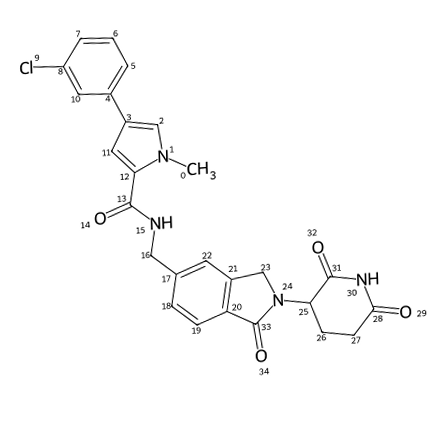 Cn1cc(-c2cccc(Cl)c2)cc1C(=O)NCc1ccc2c(c1)CN(C1CCC(=O)NC1=O)C2=O